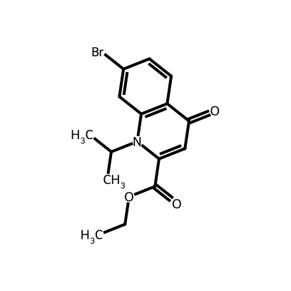 CCOC(=O)c1cc(=O)c2ccc(Br)cc2n1C(C)C